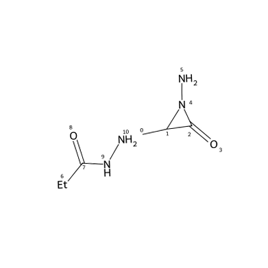 CC1C(=O)N1N.CCC(=O)NN